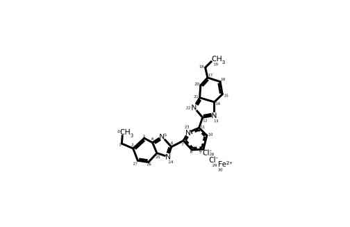 CCC1=CC2=NC(c3cccc(C4=NC5C=CC(CC)=CC5=N4)n3)=NC2C=C1.[Cl-].[Cl-].[Fe+2]